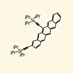 CC(C)[Si](C#Cc1ccc2cc3cc4cc5ccccc5cc4c(C#C[Si](C(C)C)(C(C)C)C(C)C)c3cc2c1)(C(C)C)C(C)C